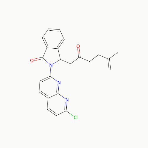 C=C(C)CCC(=O)CC1c2ccccc2C(=O)N1c1ccc2ccc(Cl)nc2n1